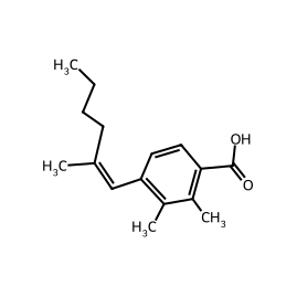 CCCCC(C)=Cc1ccc(C(=O)O)c(C)c1C